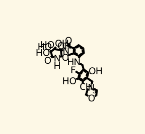 Cc1c(O)c(F)c(CNc2cccc3c2CN(C2(O)C(=O)NC(=O)C(O)(O)C2(O)O)C3=O)c(O)c1CN1CCOCC1